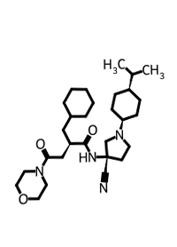 CC(C)[C@H]1CC[C@@H](N2CC[C@](C#N)(NC(=O)[C@@H](CC(=O)N3CCOCC3)CC3CCCCC3)C2)CC1